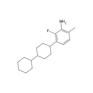 Cc1ccc(C2CCC(C3CCCCC3)CC2)c(F)c1N